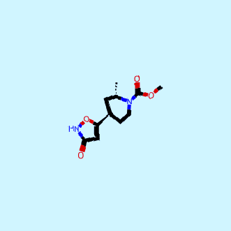 COC(=O)N1CC[C@@H](c2cc(=O)[nH]o2)C[C@@H]1C